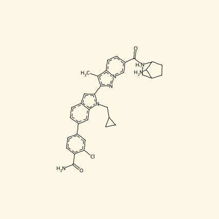 Cc1c(-c2cc3ccc(-c4ccc(C(N)=O)c(Cl)c4)cc3n2CC2CC2)nn2cc(C(=O)N3CC4CCC3[C@@H]4N)ccc12